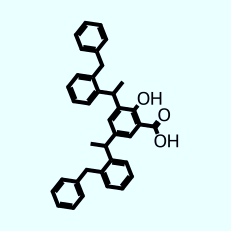 CC(c1cc(C(=O)O)c(O)c(C(C)c2ccccc2Cc2ccccc2)c1)c1ccccc1Cc1ccccc1